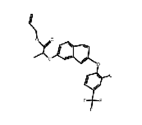 C=CCOC(=O)C(C)Oc1ccc2ccc(Oc3ccc(C(F)(F)F)cc3Cl)cc2c1